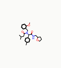 COc1ccccc1CN(C(=O)CC(C)C)C(C(=O)NCC1CCCO1)c1ccc(C)cc1